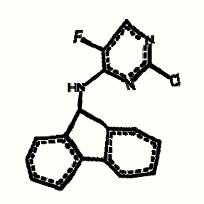 Fc1cnc(Cl)nc1NC1c2ccccc2-c2ccccc21